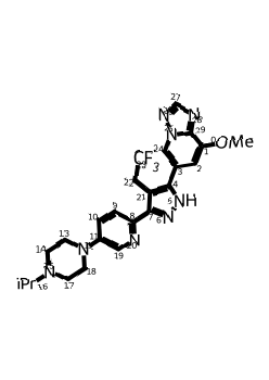 COc1cc(-c2[nH]nc(-c3ccc(N4CCN(C(C)C)CC4)cn3)c2CC(F)(F)F)cn2ncnc12